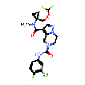 CN(C(=O)c1cnn2c1CN(C(=O)Nc1ccc(F)c(Cl)c1)CC2)C1(COC(F)F)CC1